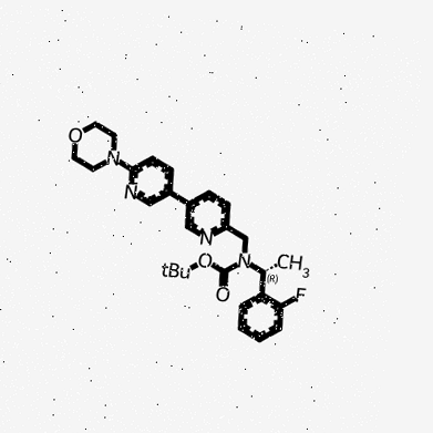 C[C@H](c1ccccc1F)N(Cc1ccc(-c2ccc(N3CCOCC3)nc2)cn1)C(=O)OC(C)(C)C